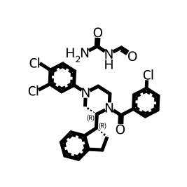 NC(=O)NC=O.O=C(c1cccc(Cl)c1)N1CCN(c2ccc(Cl)c(Cl)c2)C[C@H]1[C@@H]1CCc2ccccc21